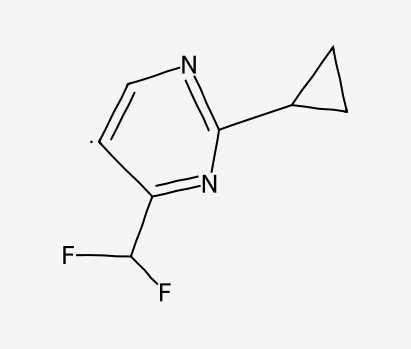 FC(F)c1[c]cnc(C2CC2)n1